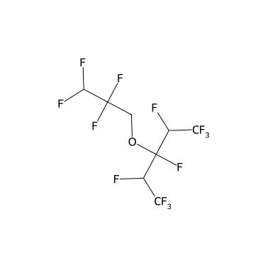 FC(F)C(F)(F)COC(F)(C(F)C(F)(F)F)C(F)C(F)(F)F